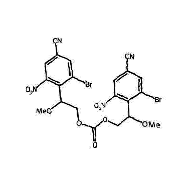 COC(COC(=O)OCC(OC)c1c(Br)cc(C#N)cc1[N+](=O)[O-])c1c(Br)cc(C#N)cc1[N+](=O)[O-]